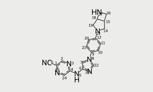 N#Cc1cnc(Nc2cn(-c3ccc(N4CC5CNC5C4)cc3)cn2)cn1